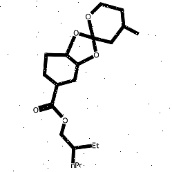 CCCC(CC)COC(=O)C1CCC2OC3(CC(C)CCO3)OC2C1